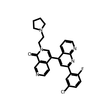 O=c1c2cnccc2c(-c2cc(-c3cc(Cl)ccc3F)nc3ncccc23)cn1CCN1CCCC1